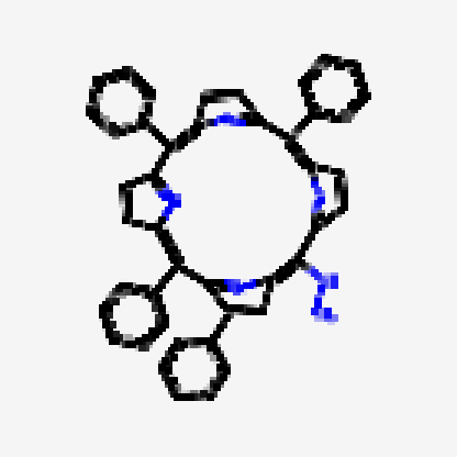 NNC1=C2C=C(c3ccccc3)C(=N2)C(c2ccccc2)=C2C=CC(=N2)C(c2ccccc2)=C2C=CC(=N2)C(c2ccccc2)=C2C=CC1=N2